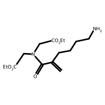 C=C(CCCCN)C(=O)N(CC(=O)OCC)CC(=O)OCC